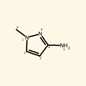 Cn1c[c]c(N)n1